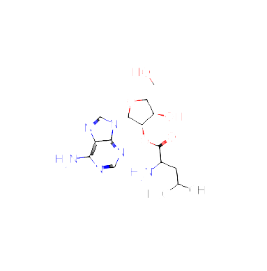 CC(C)CC(N)C(=O)O[C@@H]1[C@H](O)[C@@H](CO)O[C@H]1n1cnc2c(N)ncnc21